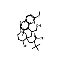 COc1ccc2ncc(F)c(C(CO)CC3(CN(C(=O)O)C(C)(C)C)CNCCC3O)c2n1